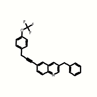 FC(F)(F)Oc1ccc(CC#Cc2ccc3ncc(Cc4ccccc4)cc3c2)cc1